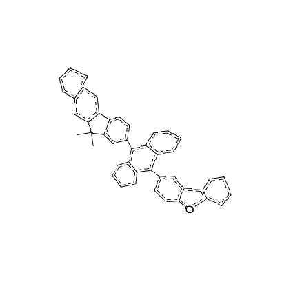 CC1(C)c2cc(-c3c4ccccc4c(-c4ccc5oc6ccccc6c5c4)c4ccccc34)ccc2-c2cc3ccccc3cc21